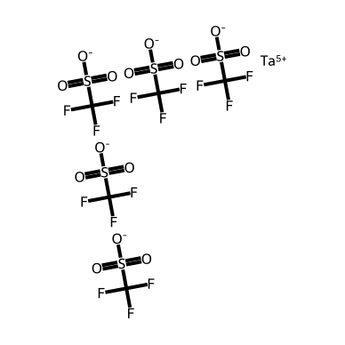 O=S(=O)([O-])C(F)(F)F.O=S(=O)([O-])C(F)(F)F.O=S(=O)([O-])C(F)(F)F.O=S(=O)([O-])C(F)(F)F.O=S(=O)([O-])C(F)(F)F.[Ta+5]